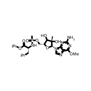 COc1nc(N)nc2c1ncn2[C@@H]1O[C@H](COP(C)(=O)N[C@H](CC(C)C)C(=O)OC(C)C)C(O)[C@]1(C)O